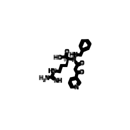 N=C(N)NCCC[C@@H](C(=O)O)N(NCc1ccccc1)C(=O)CC(=O)c1cccnc1